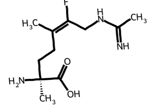 CC(=N)NC/C(F)=C(/C)CC[C@](C)(N)C(=O)O